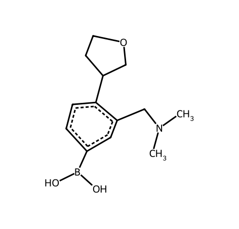 CN(C)Cc1cc(B(O)O)ccc1C1CCOC1